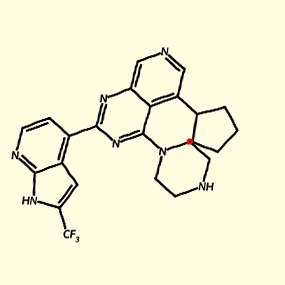 FC(F)(F)c1cc2c(-c3nc(N4CCNCC4)c4c(C5CCCC5)cncc4n3)ccnc2[nH]1